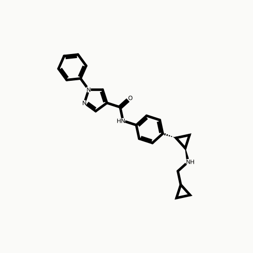 O=C(Nc1ccc([C@@H]2C[C@H]2NCC2CC2)cc1)c1cnn(-c2ccccc2)c1